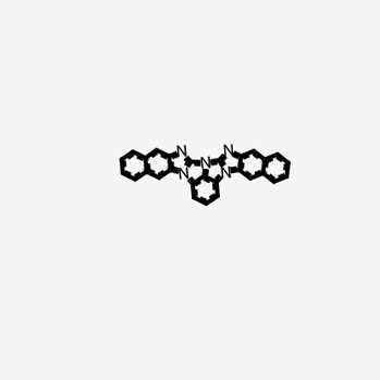 c1ccc2cc3c(cc2c1)nc1n3c2cccc3c2n1c1nc2cc4ccccc4cc2n31